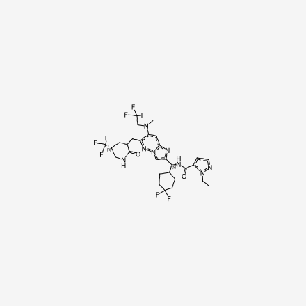 CCn1nccc1C(=O)N[C@H](c1cn2nc(CC3C[C@@H](C(F)(F)F)CNC3=O)c(N(C)CC(F)(F)F)cc2n1)C1CCC(F)(F)CC1